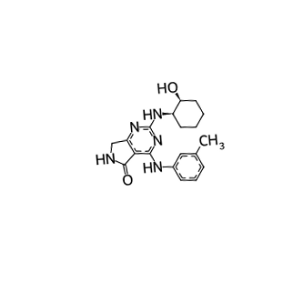 Cc1cccc(Nc2nc(N[C@@H]3CCCC[C@@H]3O)nc3c2C(=O)NC3)c1